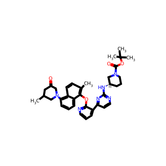 Cc1ccc2c(N3CC(=O)CC(C)C3)cccc2c1Oc1ncccc1-c1ccnc(N[C@H]2CCCN(C(=O)OC(C)(C)C)C2)n1